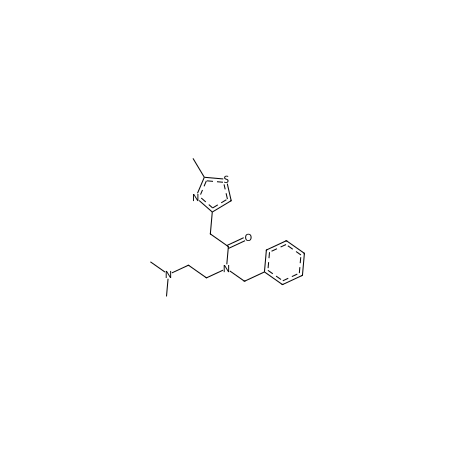 Cc1nc(CC(=O)N(CCN(C)C)Cc2ccccc2)cs1